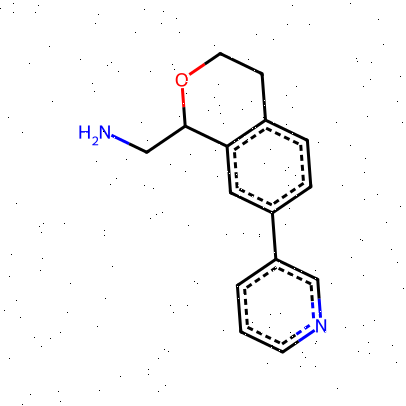 NCC1OCCc2ccc(-c3cccnc3)cc21